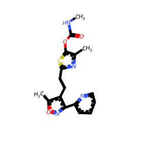 CNC(=O)Oc1sc(CCc2c(-c3ccccn3)noc2C)nc1C